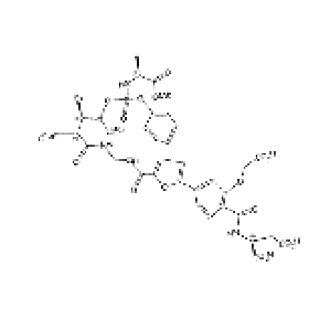 CCCCC[C@@H](C(=O)NCNC(=O)c1ccc(-c2ccc(C(=O)N[C@@H](CC(=O)O)C(=O)O)c(OCC(=O)O)c2)o1)[C@@H](CC)N(C=O)OP(=O)(N[C@@H](C)C(=O)OC)Oc1ccccc1